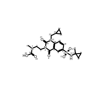 CN(CCn1c(=O)c2cc(S(=O)(=O)NC3(C)CC3)ccc2n(CC2CC2)c1=O)C(=O)O